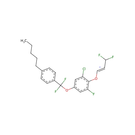 CCCCCc1ccc(C(F)(F)Oc2cc(F)c(O/C=C/C(F)F)c(Cl)c2)cc1